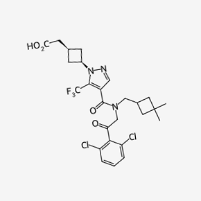 CC1(C)CC(CN(CC(=O)c2c(Cl)cccc2Cl)C(=O)c2cnn([C@H]3C[C@@H](CC(=O)O)C3)c2C(F)(F)F)C1